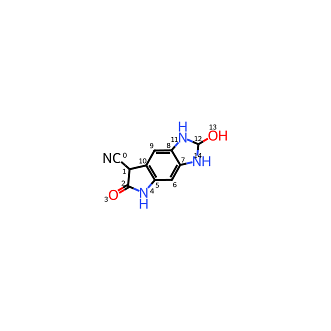 N#CC1C(=O)Nc2cc3c(cc21)NC(O)N3